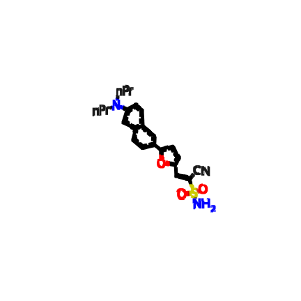 CCCN(CCC)c1ccc2cc(-c3ccc(/C=C(\C#N)S(N)(=O)=O)o3)ccc2c1